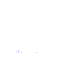 CCCCCC(C)C(=O)OC1NCC12CC(O)(c1cccc(C3CC3)c1)C2